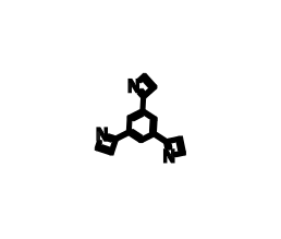 C1=CC(c2cc(C3=NC=C3)cc(C3=NC=C3)c2)=N1